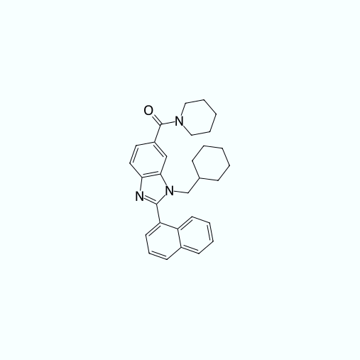 O=C(c1ccc2nc(-c3cccc4ccccc34)n(CC3CCCCC3)c2c1)N1CCCCC1